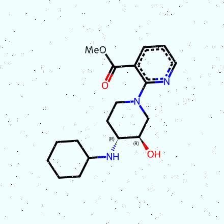 COC(=O)c1cccnc1N1CC[C@@H](NC2CCCCC2)[C@H](O)C1